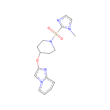 Cn1ccnc1S(=O)(=O)N1CCC(Oc2cn3ccccc3n2)CC1